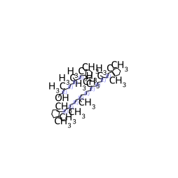 CC1=C(/C=C/C(C)=C/C=C/C(C)=C/C=C/C=C(C)/C=C/C=C(C)/C=C/C2=C(C)CCCC2(C)C)C(C)(C)CCC1.CC1=C(/C=C/C(C)=C/C=C/C(C)=C/CO)C(C)(C)CCC1